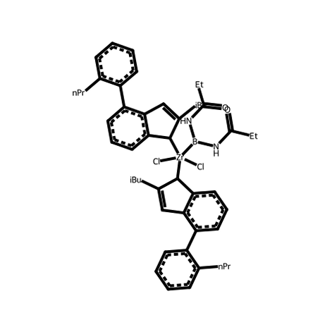 CCCc1ccccc1-c1cccc2c1C=C(C(C)CC)[CH]2[Zr]([Cl])([Cl])([B](NC(=O)CC)NC(=O)CC)[CH]1C(C(C)CC)=Cc2c(-c3ccccc3CCC)cccc21